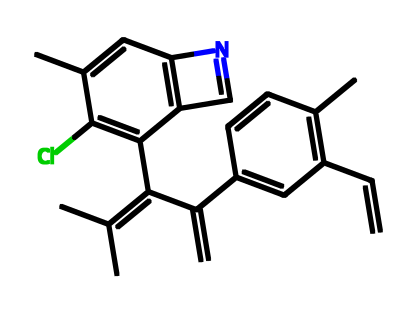 C=Cc1cc(C(=C)C(=C(C)C)c2c(Cl)c(C)cc3c2C=N3)ccc1C